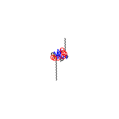 CCCCCCCCCCCCCCCCCCN1C(C(C(=O)Nc2cc(C)ccc2Oc2ccccc2OCCCCCCCCCCCC)n2cnc(C(=O)OC)c2)=Nc2ccccc2S1(=O)=O